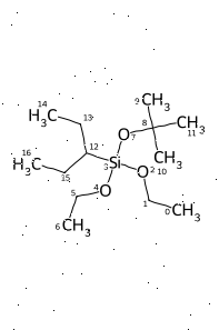 CCO[Si](OCC)(OC(C)(C)C)C(CC)CC